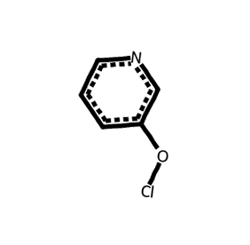 ClOc1cccnc1